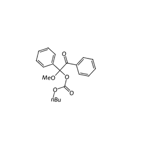 CCCCOC(=O)OC(OC)(C(=O)c1ccccc1)c1ccccc1